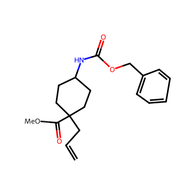 C=CCC1(C(=O)OC)CCC(NC(=O)OCc2ccccc2)CC1